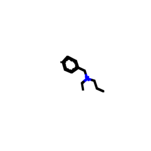 CCCN(CC)Cc1cc[c]cc1